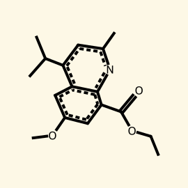 CCOC(=O)c1cc(OC)cc2c(C(C)C)cc(C)nc12